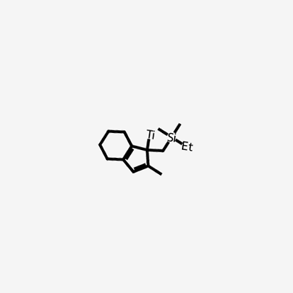 CC[Si](C)(C)C[C]1([Ti])C(C)=CC2=C1CCCC2